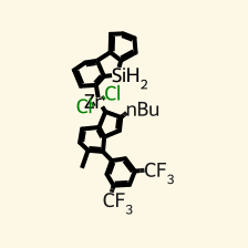 CCCCC1=Cc2c(ccc(C)c2-c2cc(C(F)(F)F)cc(C(F)(F)F)c2)[CH]1[Zr]([Cl])([Cl])[c]1cccc2c1[SiH2]c1ccccc1-2